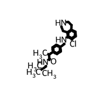 CC(C(=O)NCC(C)(C)C)c1ccc(CNc2c(Cl)ccc3c2CCNCC3)cc1